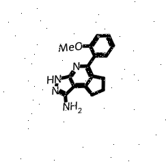 COc1ccccc1-c1nc2[nH]nc(N)c2c2c1CCC2